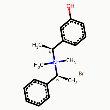 C[C@@H](c1ccccc1)[N+](C)(C)[C@@H](C)c1cccc(O)c1.[Br-]